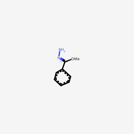 CO/C(=N\N)c1ccccc1